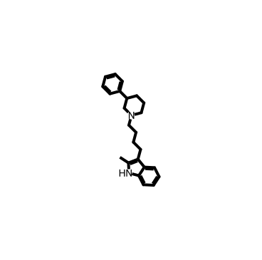 Cc1[nH]c2ccccc2c1CCCCN1CCCC(c2ccccc2)C1